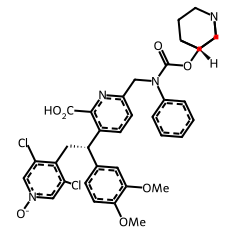 COc1ccc([C@H](Cc2c(Cl)c[n+]([O-])cc2Cl)c2ccc(CN(C(=O)O[C@H]3CN4CCC3CC4)c3ccccc3)nc2C(=O)O)cc1OC